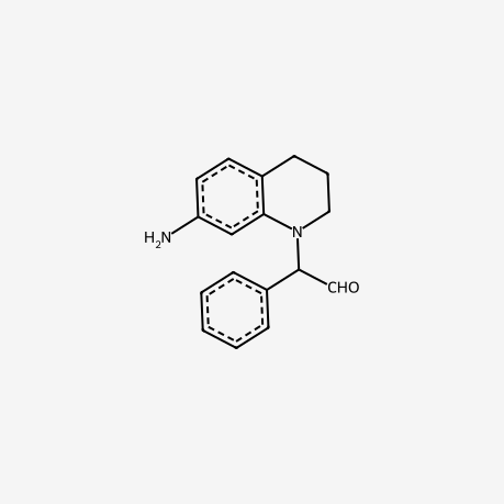 Nc1ccc2c(c1)N(C(C=O)c1ccccc1)CCC2